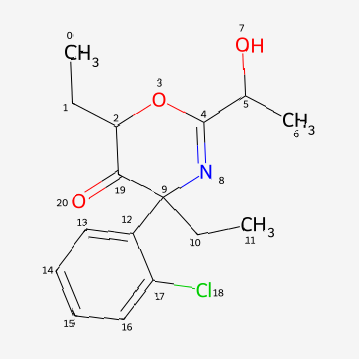 CCC1OC(C(C)O)=NC(CC)(c2ccccc2Cl)C1=O